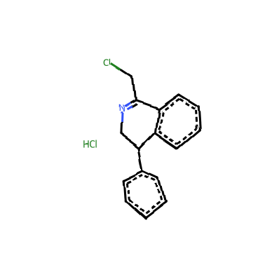 Cl.ClCC1=NCC(c2ccccc2)c2ccccc21